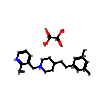 COc1ncccc1CN1CCC(CCc2cc(C)cc(C)c2)CC1.O=C(O)C(=O)O